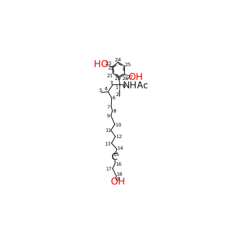 CC(=O)NC(I)(CC(C)CCCCCCCCCCCCCO)c1cc(O)ccc1O